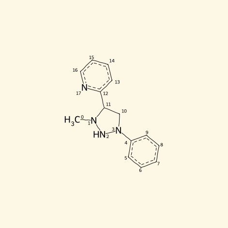 CN1NN(c2ccccc2)CC1c1ccccn1